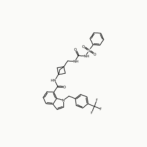 O=C(NCC12CC(NC(=O)c3cccc4ccn(Cc5ccc(C(F)(F)F)cc5)c34)(C1)C2)NS(=O)(=O)c1ccccc1